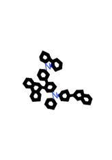 c1ccc(N(c2ccc(-c3ccc4ccccc4c3)cc2)c2ccc(-c3cccc(-n4c5ccccc5c5ccccc54)c3)c(-c3cc4ccccc4c4ccccc34)c2)cc1